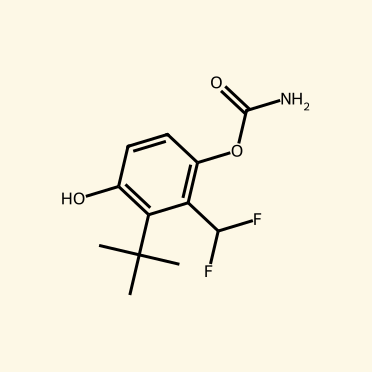 CC(C)(C)c1c(O)ccc(OC(N)=O)c1C(F)F